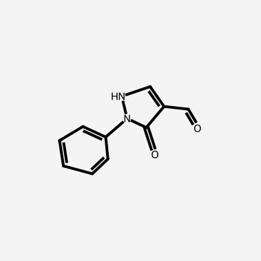 O=Cc1c[nH]n(-c2ccccc2)c1=O